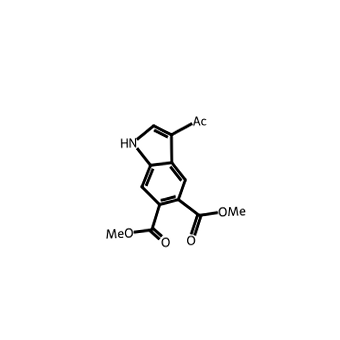 COC(=O)c1cc2[nH]cc(C(C)=O)c2cc1C(=O)OC